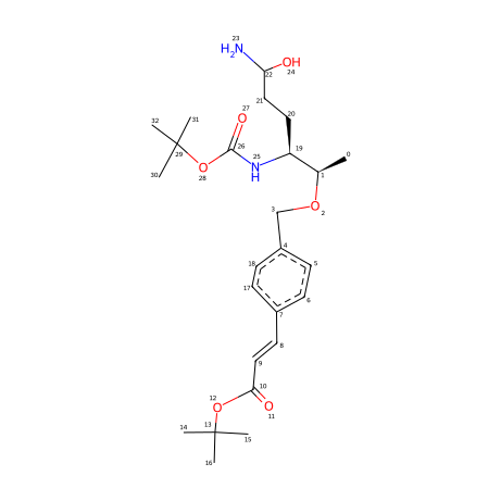 C[C@@H](OCc1ccc(/C=C/C(=O)OC(C)(C)C)cc1)[C@H](CCC(N)O)NC(=O)OC(C)(C)C